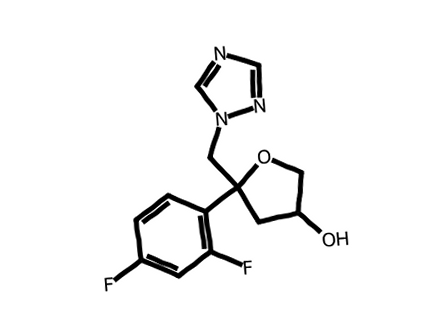 OC1COC(Cn2cncn2)(c2ccc(F)cc2F)C1